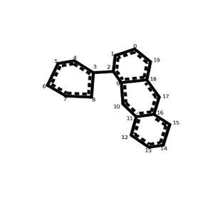 [c]1cc(-c2ccccc2)c2cc3ccccc3cc2c1